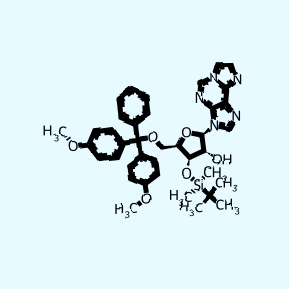 COc1ccc(C(OC[C@H]2O[C@@H](n3cnc4c3ncn3ccnc43)[C@H](O)[C@@H]2O[Si](C)(C)C(C)(C)C)(c2ccccc2)c2ccc(OC)cc2)cc1